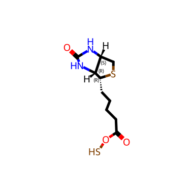 O=C1N[C@@H]2[C@@H](CS[C@@H]2CCCCC(=O)OS)N1